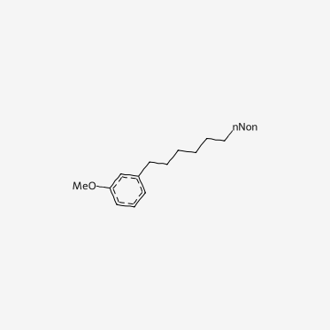 CCCCCCCCCCCCCCCc1cccc(OC)c1